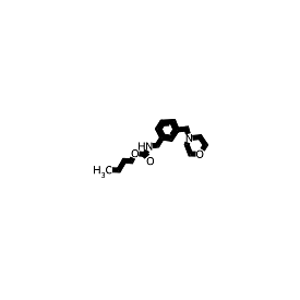 CCCCOC(=O)NCc1cccc(CN2CCOCC2)c1